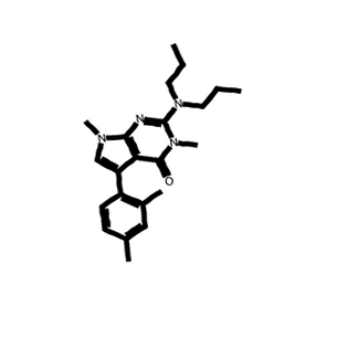 CCCN(CCC)c1nc2c(c(-c3ccc(C)cc3C)cn2C)c(=O)n1C